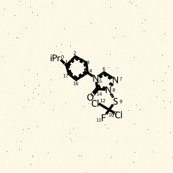 CC(C)c1ccc(-n2cnn(SC(F)(Cl)Cl)c2=O)cc1